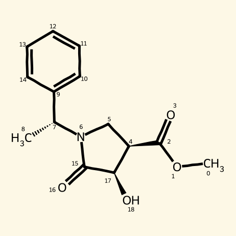 COC(=O)[C@@H]1CN([C@H](C)c2ccccc2)C(=O)[C@@H]1O